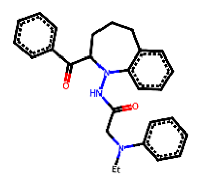 CCN(CC(=O)NN1c2ccccc2CCCC1C(=O)c1ccccc1)c1ccccc1